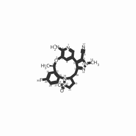 C[C@H]1Oc2cc(cnc2N)-c2c(nn(C)c2C#N)CC2CCS(=O)(=O)N2c2ccc(F)cc21